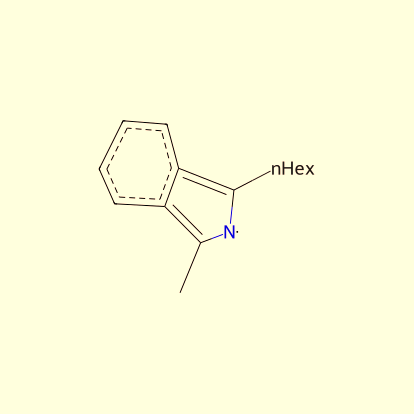 CCCCCCC1=c2ccccc2=C(C)[N]1